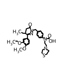 CCOc1cc(C2=NN(Cc3ccc(N(CCN4CCSCC4)C(=O)O)cc3)C(=O)CC2CC)ccc1OC